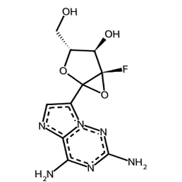 Nc1nc(N)c2ncc(C34O[C@H](CO)[C@@H](O)[C@]3(F)O4)n2n1